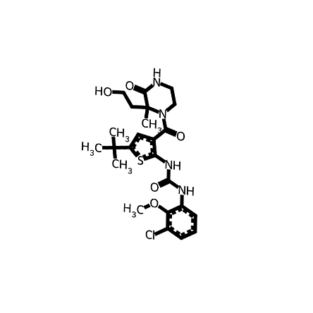 COc1c(Cl)cccc1NC(=O)Nc1sc(C(C)(C)C)cc1C(=O)N1CCNC(=O)C1(C)CCO